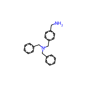 NCc1ccc(CN(Cc2ccccc2)Cc2ccccc2)cc1